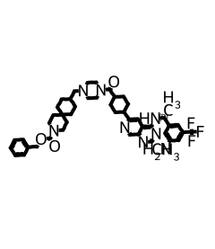 Cc1nc(N[C@H](C)c2cc(N)cc(C(F)(F)F)c2)c2cc(C3CCC(C(=O)N4CCN(CC5CCC6(CC5)CCN(C(=O)OCc5ccccc5)CC6)CC4)CC3)ncc2n1